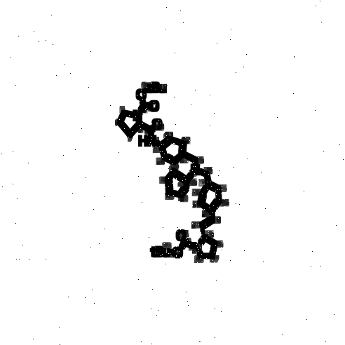 CC(C)(C)OC(=O)N1CCCC1C(=O)Nc1ccc(CN(Cc2ccc(C=C[C@@H]3CCCN3C(=O)OC(C)(C)C)cc2)c2ccccc2)cc1